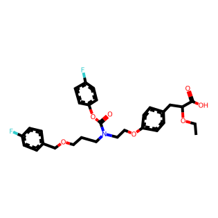 CCOC(Cc1ccc(OCCN(CCCOCc2ccc(F)cc2)C(=O)Oc2ccc(F)cc2)cc1)C(=O)O